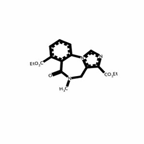 CCOC(=O)c1cccc2c1C(=O)N(C)Cc1c(C(=O)OCC)ncn1-2